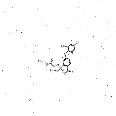 CCP(=O)(OCC(=O)OC)c1cc(Oc2ncc(Cl)cc2Cl)ccc1[N+](=O)[O-]